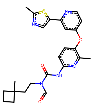 Cc1ncc(-c2cc(Oc3ccc(NC(=O)N(C=O)CCC4(C)CCC4)nc3C)ccn2)s1